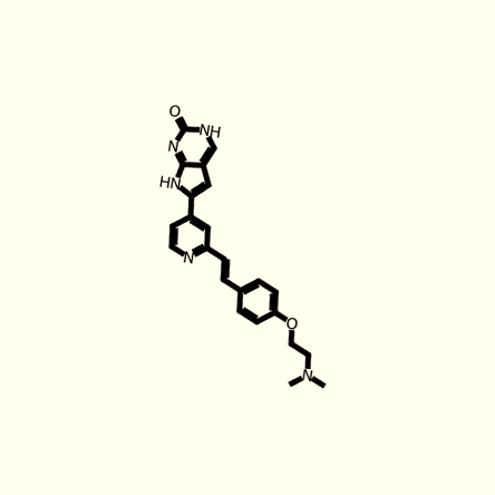 CN(C)CCOc1ccc(/C=C/c2cc(-c3cc4c[nH]c(=O)nc4[nH]3)ccn2)cc1